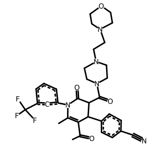 CC(=O)C1=C(C)N(c2cccc(C(F)(F)F)c2)C(=O)C(C(=O)N2CCN(CCN3CCOCC3)CC2)C1c1ccc(C#N)cc1